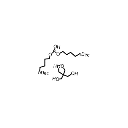 CCCCCCCCCCCCCCOP(O)OCCCCCCCCCCCCCC.OCC(CO)(CO)CO